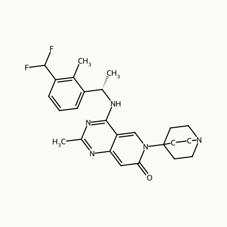 Cc1nc(N[C@@H](C)c2cccc(C(F)F)c2C)c2cn(C34CCN(CC3)CC4)c(=O)cc2n1